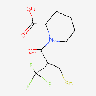 O=C(O)C1CCCCN1C(=O)C(CS)C(F)(F)F